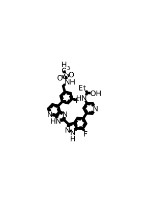 CCC(O)Nc1cncc(-c2cc(F)c3[nH]nc(-c4nc5c(-c6cc(F)cc(CNS(C)(=O)=O)c6)ccnc5[nH]4)c3c2)c1